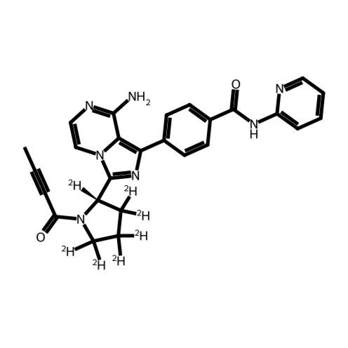 [2H]C1([2H])N(C(=O)C#CC)[C@]([2H])(c2nc(-c3ccc(C(=O)Nc4ccccn4)cc3)c3c(N)nccn23)C([2H])([2H])C1([2H])[2H]